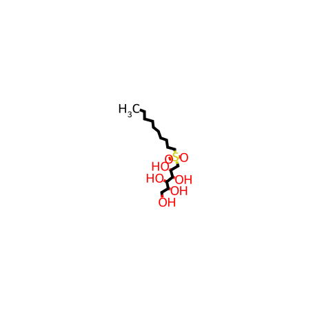 CCCCCCCCCCS(=O)(=O)CC(O)C(O)C(O)C(O)CO